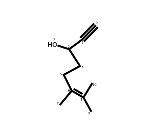 C#CC(O)CCC(C)=C(C)C